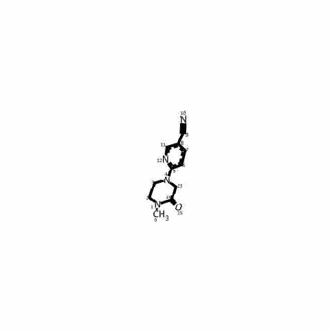 CN1CCN(c2ccc(C#N)cn2)CC1=O